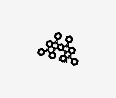 c1ccc(N2c3ccccc3B3c4cc5c(cc4N(c4ccccc4)c4cccc2c43)N(c2ccccc2)c2cccc3c2B5c2cncnc2N3c2ccccc2)cc1